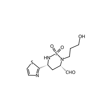 O=C[C@@H]1C[C@H](c2nccs2)NS(=O)(=O)N1CCCO